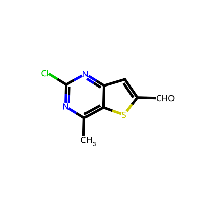 Cc1nc(Cl)nc2cc(C=O)sc12